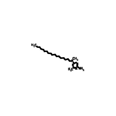 CCCCCCCCCCCCCCCCCCN(C)C1=NC(C)=NC(N)=NC1